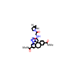 CNC(=O)c1ccc2c(c1)CCc1cc(C(=O)NC)ccc1C2(C[C@H](NCC(=O)N1CC[C@@H]2C[C@@H]21)C(C)(C)C)c1nnn[nH]1